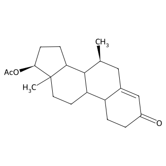 CC(=O)O[C@H]1CCC2C3C(CCC21C)C1CCC(=O)C=C1C[C@@H]3C